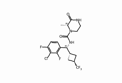 C[C@@H]1C(=O)NCCN1C(=O)N[C@@H](c1ccc(F)c(Cl)c1F)[C@H]1C[C@H](C(F)(F)F)C1